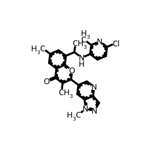 Cc1cc(C(C)Nc2ccc(Cl)nc2C)c2oc(-c3cnc4cnn(C)c4c3)c(C)c(=O)c2c1